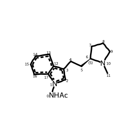 CC(=O)Nn1cc(CC[C@H]2CCCN2C)c2ccccc21